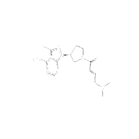 CN(C)CC=CC(=O)N1CC[C@H](n2nc(I)c3c(N)ncnc32)C1